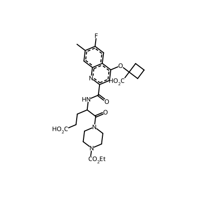 CCOC(=O)N1CCN(C(=O)C(CCC(=O)O)NC(=O)c2cc(OC3(C(=O)O)CCC3)c3cc(F)c(C)cc3n2)CC1